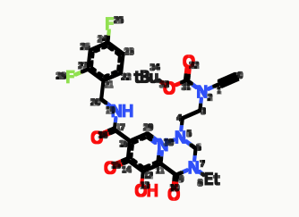 C#CN(CCN1CN(CC)C(=O)c2c(O)c(=O)c(C(=O)NCc3ccc(F)cc3F)cn21)C(=O)OC(C)(C)C